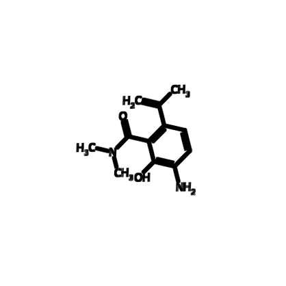 C=C(C)c1ccc(N)c(O)c1C(=O)N(C)C